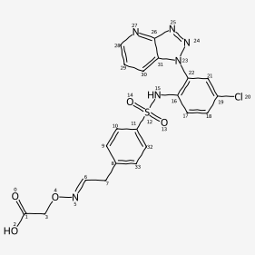 O=C(O)CON=CCc1ccc(S(=O)(=O)Nc2ccc(Cl)cc2-n2nnc3ncccc32)cc1